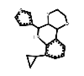 c1cc(C2CC2)c2c(c1)C1OCCOC1C(c1ccsc1)N2